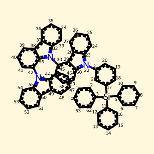 c1ccc([Si](c2ccccc2)(c2ccccc2)c2cccc(-n3c4ccccc4c4c(-n5c6ccccc6c6cccc(-n7c8ccccc8c8ccccc87)c65)cccc43)c2)cc1